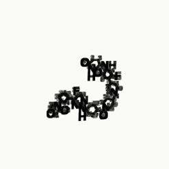 O=C1CCC(Nc2ccc(C3CCN(CC4CCN(C(=O)[C@H]5CC[C@H](Nc6ncc(F)c(-c7cccc(N8CCOCC8=O)c7)n6)CC5)CC4)CC3)c(F)c2)C(=O)N1